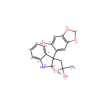 CC(C)(O)CC1(c2cc3c(cc2O)OCO3)C(=O)Nc2ccccc21